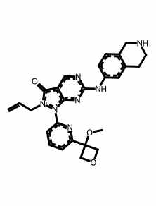 C=CCn1c(=O)c2cnc(Nc3ccc4c(c3)CCNC4)nc2n1-c1cccc(C2(OC)COC2)n1